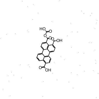 O=C(O)OC(=O)c1ccc2c3cccc4c(C(=O)O)ccc(c5ccc(C(=O)O)c1c52)c43